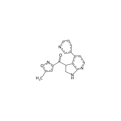 Cc1cc(C(=O)C2CNc3nccc(-c4cccnc4)c32)no1